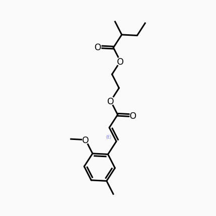 CCC(C)C(=O)OCCOC(=O)/C=C/c1cc(C)ccc1OC